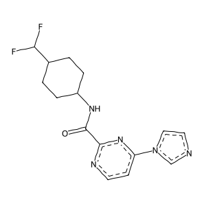 O=C(NC1CCC(C(F)F)CC1)c1nccc(-n2ccnc2)n1